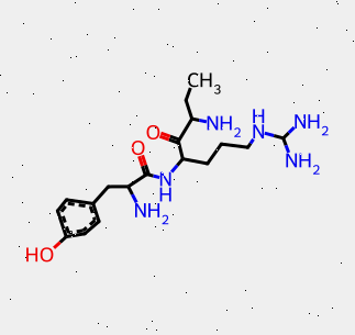 CCC(N)C(=O)C(CCCNC(N)N)NC(=O)C(N)Cc1ccc(O)cc1